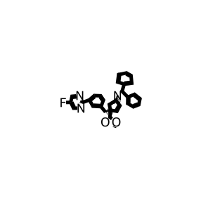 COC(=O)[C@@]1(Cc2cccc(-c3ncc(F)cn3)c2)C=C[C@H](N=C(c2ccccc2)c2ccccc2)C1